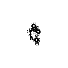 N#CCNC(=O)O.O=S(=O)(c1ccccc1Cl)[C@@H]1CC[C@@H](COc2ccc(Cl)cc2)C1